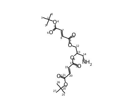 CC(C)(C)OC(=O)/C=C/C(=O)OCC(CN)OC(=O)/C=C/C(=O)OC(C)(C)C